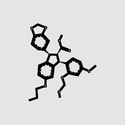 CCCOc1ccc2c(c1)[C@@H](c1ccc(OC)cc1OCOC)[C@@H](C(=O)OC)[C@H]2c1ccc2c(c1)OCO2